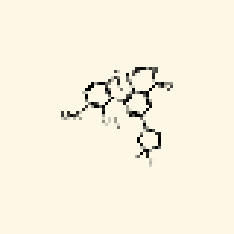 COc1ccc(C)c(-c2nc(N3CCC(F)(F)C3)cc3c(=O)[nH]cnc23)c1C